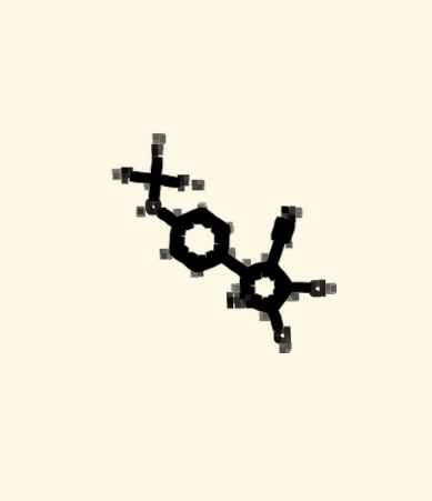 N#Cc1c(-c2ccc(OC(F)(F)F)cc2)[nH]c(Cl)c1Cl